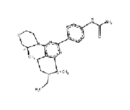 CCN1CCc2c(nc(-c3ccc(NC(N)=O)cc3)nc2N2CCOC[C@@H]2C)[C@@H]1C